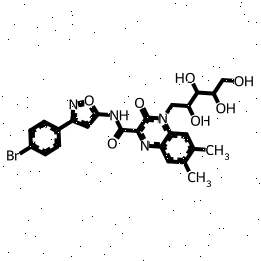 Cc1cc2nc(C(=O)Nc3cc(-c4ccc(Br)cc4)no3)c(=O)n(CC(O)C(O)C(O)CO)c2cc1C